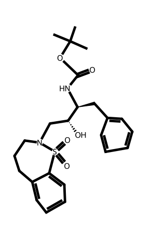 CC(C)(C)OC(=O)N[C@@H](Cc1ccccc1)[C@H](O)CN1CCCc2ccccc2S1(=O)=O